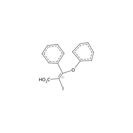 O=C(O)/C(I)=C(/Oc1ccccc1)c1ccccc1